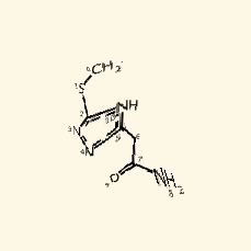 [CH2]Sc1nnc(CC(N)=O)[nH]1